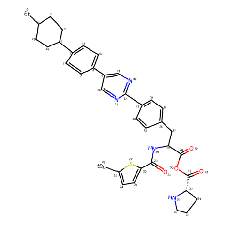 CCC1CCC(c2ccc(-c3cnc(-c4ccc(CC(NC(=O)c5ccc(C(C)(C)C)s5)C(=O)OC(=O)[C@@H]5CCCN5)cc4)nc3)cc2)CC1